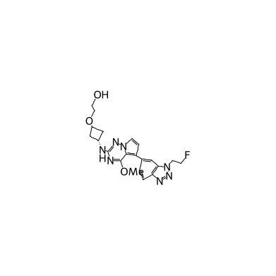 COc1nc(N[C@H]2C[C@@H](OCCO)C2)nn2ccc(-c3ccc4nnn(CCF)c4c3)c12